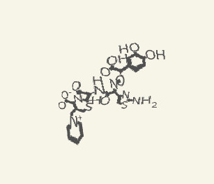 Nc1nc(C(=NO[C@H](C(=O)O)c2ccc(O)c(O)c2)C(=O)N[C@@H]2C(=O)N3C(C(=O)[O-])=C(C[n+]4ccccc4)CS[C@H]23)cs1